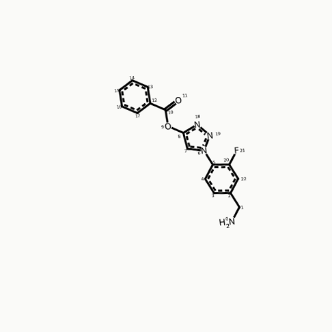 NCc1ccc(-n2cc(OC(=O)c3ccccc3)nn2)c(F)c1